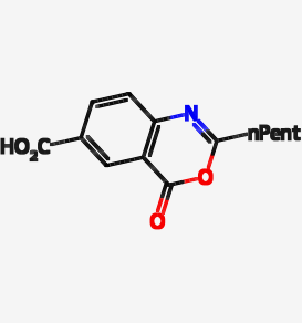 CCCCCc1nc2ccc(C(=O)O)cc2c(=O)o1